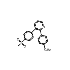 COc1ccc(-c2ncccc2-c2ccc(S(C)(=O)=O)cc2)cc1